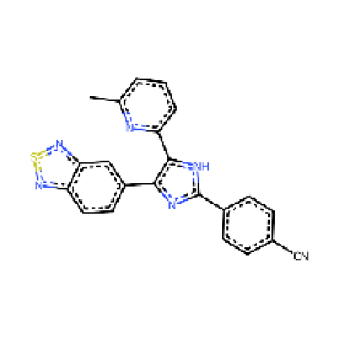 Cc1cccc(-c2[nH]c(-c3ccc(C#N)cc3)nc2-c2ccc3nsnc3c2)n1